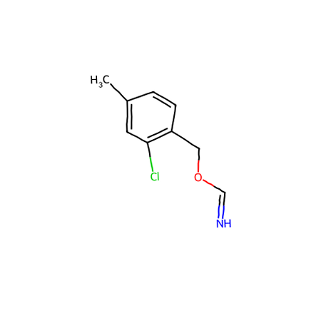 Cc1ccc(COC=N)c(Cl)c1